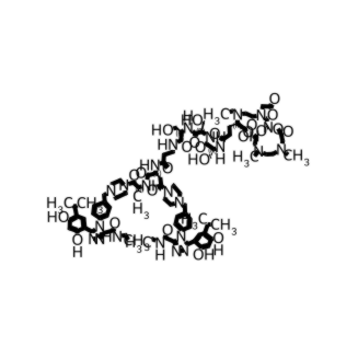 CCNC(=O)c1nnc(-c2cc(C(C)C)c(O)cc2O)n1-c1ccc(CN2CCN(C(=O)C[C@H](NC(=O)CCNC(=O)[C@@H](CO)NC(=O)[C@@H](CO)NC(=O)[C@@H](CO)NC(=O)CC[C@H](C(=O)O)N(CC)CCN3CC(=O)OC3N3OC(=O)CN(C)CCN(C)CC(=O)O3)C(=O)N[C@H](C)C(=O)N3CCN(Cc4ccc(-n5c(C(=O)NCC)nnc5-c5cc(C(C)C)c(O)cc5O)cc4)CC3)CC2)cc1